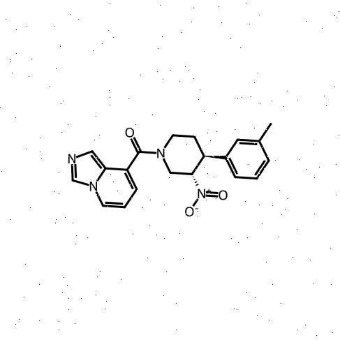 Cc1cccc([C@@H]2CCN(C(=O)c3cccn4cncc34)C[C@H]2[N+](=O)[O-])c1